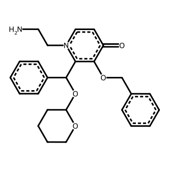 NCCn1ccc(=O)c(OCc2ccccc2)c1C(OC1CCCCO1)c1ccccc1